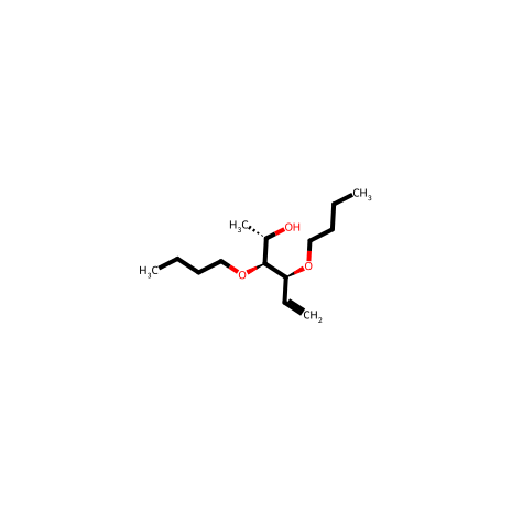 C=C[C@H](OCCCC)[C@@H](OCCCC)[C@H](C)O